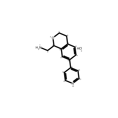 Cl.NCC1OCCc2ccc(-c3ccncc3)cc21